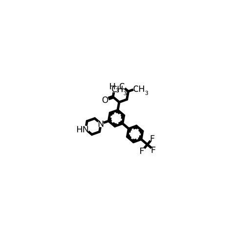 CC(=O)C(CC(C)C)c1cc(-c2ccc(C(F)(F)F)cc2)cc(N2CCNCC2)c1